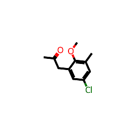 COc1c(C)cc(Cl)cc1CC(C)=O